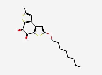 CCCCCCCCOc1cc2c(s1)C(=O)C(=O)c1sc(C)cc1-2